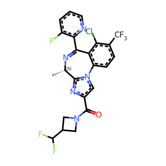 C[C@@H]1N=C(c2ncccc2F)c2c(ccc(C(F)(F)F)c2Cl)-n2cc(C(=O)N3CC(C(F)F)C3)nc21